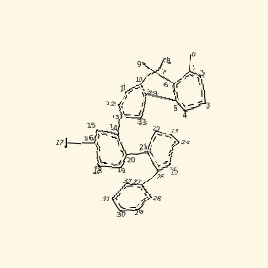 Cc1cccc2c1C(C)(C)c1ccc(-c3cc(I)ccc3-c3ccccc3-c3ccccc3)cc1-2